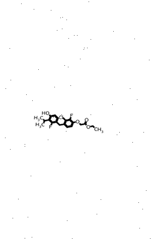 CCOC(=O)COc1ccc(Cc2ccc(O)c(C(C)C)c2F)c(Cl)c1F